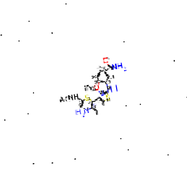 C=C(NC(C)=O)S/C(=C(/C)N)c1csc(Nc2cc(C(N)=O)ccc2OC(C)C)n1